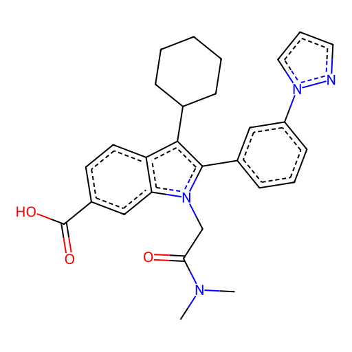 CN(C)C(=O)Cn1c(-c2cccc(-n3cccn3)c2)c(C2CCCCC2)c2ccc(C(=O)O)cc21